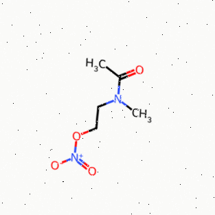 CC(=O)N(C)CCO[N+](=O)[O-]